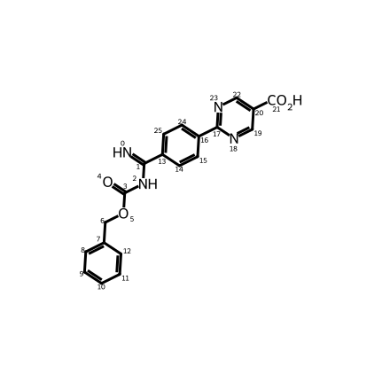 N=C(NC(=O)OCc1ccccc1)c1ccc(-c2ncc(C(=O)O)cn2)cc1